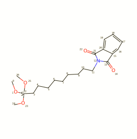 CO[Si](CCCCCCCCCN1C(=O)c2ccccc2C1=O)(OC)OC